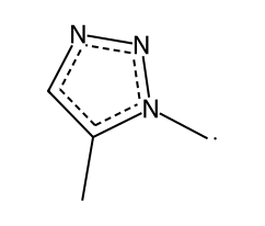 [CH2]n1nncc1C